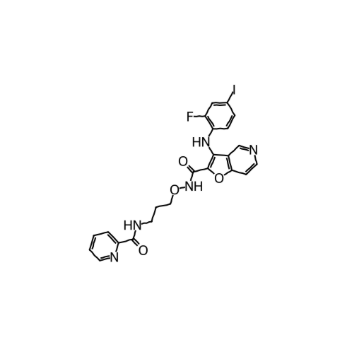 O=C(NCCCONC(=O)c1oc2ccncc2c1Nc1ccc(I)cc1F)c1ccccn1